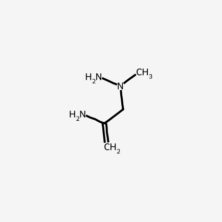 C=C(N)CN(C)N